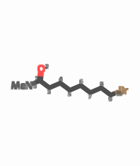 CNC(=O)CCCCCCCBr